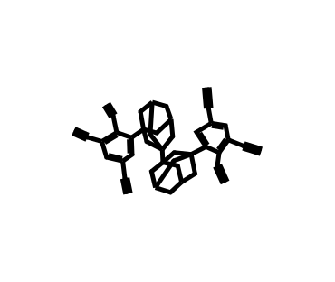 C#Cc1cc(C#C)c(C#C)c(C23CC4CC(C2)CC(C25CC6CC(CC(c7cc(C#C)cc(C#C)c7C#C)(C6)C2)C5)(C4)C3)c1